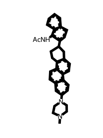 CC(=O)Nc1c(C2CCc3c(ccc4c3ccc3cc(N5CCN(C)CC5)ccc34)C2)ccc2ccccc12